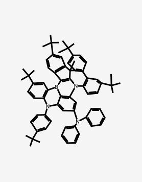 CC(C)(C)c1ccc(-c2cc(C(C)(C)C)ccc2N2C3=C(B4c5cc(C(C)(C)C)ccc5N(c5ccc(C(C)(C)C)cc5)c5cc(N(c6ccccc6)c6ccccc6)cc2c54)c2ccc(C(C)(C)C)cc2C3(C)C)cc1